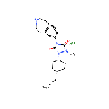 Cl.Cn1c(=O)n(-c2ccc3c(c2)CCNCC3)c(=O)n1[C@H]1CC[C@H](CCC(=O)O)CC1